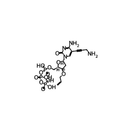 C=CCO[C@@H]1C[C@H](n2cc(C#CCN)c(N)nc2=O)O[C@@H]1COP(=O)(O)OP(=O)(O)OP(=O)(O)O